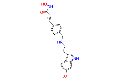 COc1ccc2c(CCNCc3ccc(/C=C/C(=O)NO)cc3)c[nH]c2c1